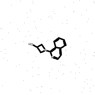 OC1CN(c2nccc3[c]cccc23)C1